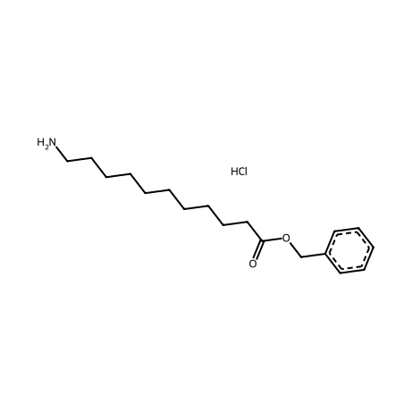 Cl.NCCCCCCCCCCC(=O)OCc1ccccc1